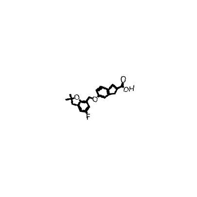 CC1(C)Cc2cc(F)cc(COc3ccc4c(c3)CC(C(=O)O)C4)c2O1